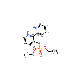 CCOP(=O)(Cc1cccnc1-c1ccccn1)OCC